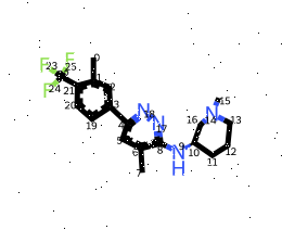 Cc1cc(-c2cc(C)c(N[C@@H]3CCCN(C)C3)nn2)ccc1C(F)(F)F